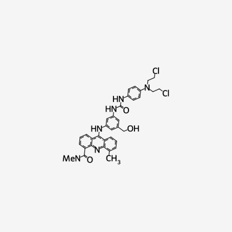 CNC(=O)c1cccc2c(Nc3cc(CO)cc(NC(=O)Nc4ccc(N(CCCl)CCCl)cc4)c3)c3cccc(C)c3nc12